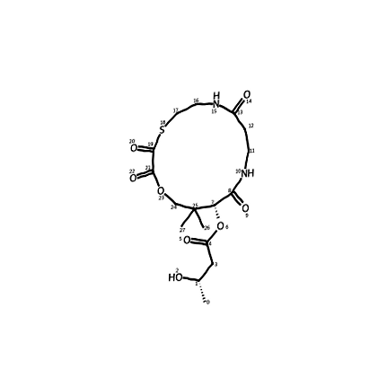 C[C@H](O)CC(=O)O[C@H]1C(=O)NCCC(=O)NCCSC(=O)C(=O)OCC1(C)C